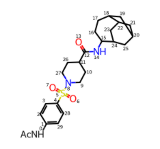 CC(=O)Nc1ccc(S(=O)(=O)N2CCC(C(=O)NC3CCC4CC5CC4CC3C5)CC2)cc1